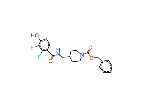 O=C(NCC1CCN(C(=O)OCc2ccccc2)CC1)c1ccc(O)c(F)c1F